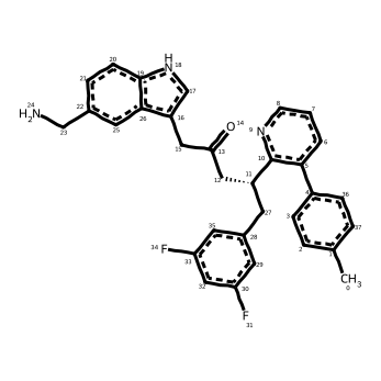 Cc1ccc(-c2cccnc2[C@@H](CC(=O)Cc2c[nH]c3ccc(CN)cc23)Cc2cc(F)cc(F)c2)cc1